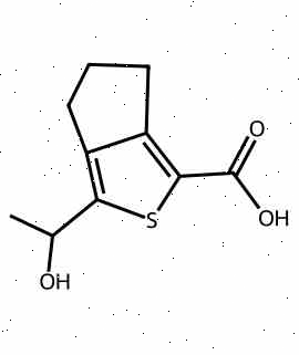 CC(O)c1sc(C(=O)O)c2c1CCC2